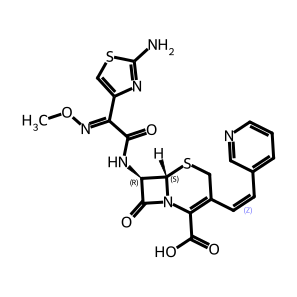 CON=C(C(=O)N[C@@H]1C(=O)N2C(C(=O)O)=C(/C=C\c3cccnc3)CS[C@@H]12)c1csc(N)n1